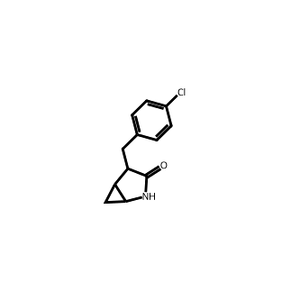 O=C1NC2CC2C1Cc1ccc(Cl)cc1